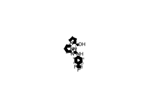 OC[C@@H]1CCCN1c1cccc2nc(Nc3ccc(C(F)(F)F)cc3)nn12